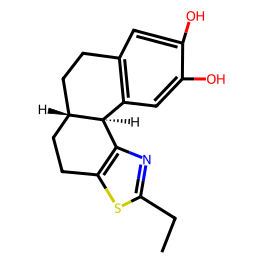 CCc1nc2c(s1)CC[C@@H]1CCc3cc(O)c(O)cc3[C@@H]21